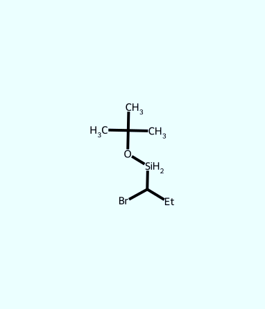 CCC(Br)[SiH2]OC(C)(C)C